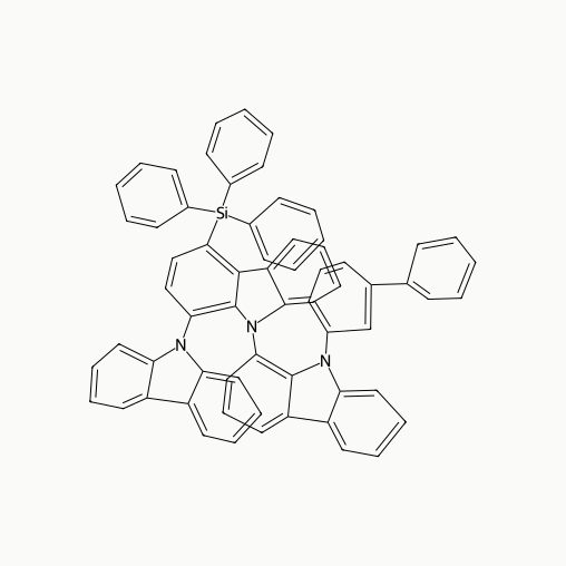 c1ccc(-c2cccc(-n3c4ccccc4c4cccc(-n5c6ccccc6c6c([Si](c7ccccc7)(c7ccccc7)c7ccccc7)ccc(-n7c8ccccc8c8ccccc87)c65)c43)c2)cc1